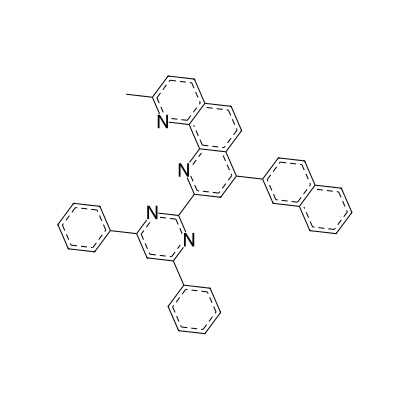 Cc1ccc2ccc3c(-c4ccc5ccccc5c4)cc(-c4nc(-c5ccccc5)cc(-c5ccccc5)n4)nc3c2n1